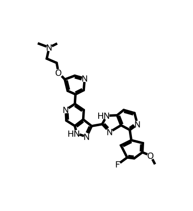 COc1cc(F)cc(-c2nccc3[nH]c(-c4n[nH]c5cnc(-c6cncc(OCCN(C)C)c6)cc45)nc23)c1